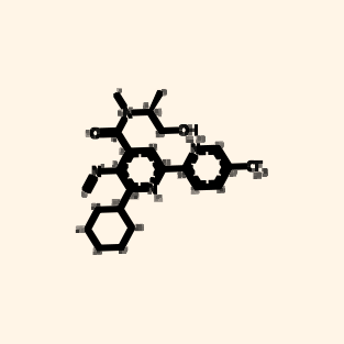 C=Nc1c(C(=O)N(C)[C@@H](C)CO)cc(-c2ccc(C(F)(F)F)cn2)nc1C1CCCCC1